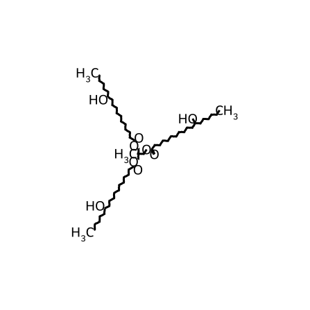 CCCCCCC(O)CCCCCCCCCCC(=O)OCC(C)(COC(=O)CCCCCCCCCCC(O)CCCCCC)COC(=O)CCCCCCCCCCC(O)CCCCCC